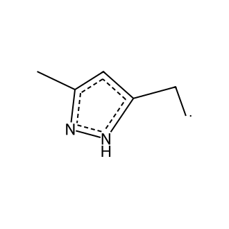 [CH2]Cc1cc(C)n[nH]1